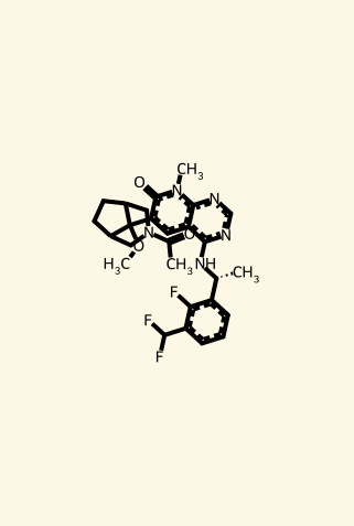 COC1(c2cc3c(N[C@H](C)c4cccc(C(F)F)c4F)ncnc3n(C)c2=O)C2CCC1CN(C(C)=O)C2